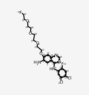 Nc1cc2c(Nc3cc(Cl)c(Cl)cc3F)ncnc2cc1OCCOCCOCCOCCF